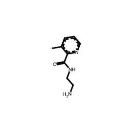 [CH2]c1cccnc1C(=O)NCCN